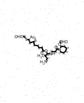 CC(=O)SC(CCCCC(=O)OC(NCCC(=O)N1CCCCCC1OC=O)C(C)CN)CCSCC=O